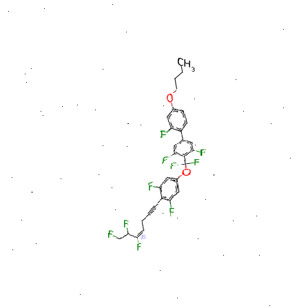 CCCCOc1ccc(-c2cc(F)c(C(F)(F)Oc3cc(F)c(C#CC/C=C(/F)C(F)CF)c(F)c3)c(F)c2)c(F)c1